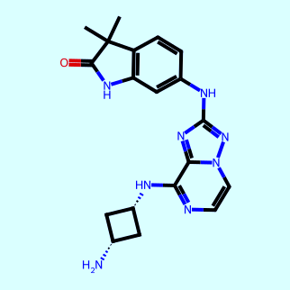 CC1(C)C(=O)Nc2cc(Nc3nc4c(N[C@H]5C[C@@H](N)C5)nccn4n3)ccc21